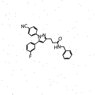 N#Cc1ccc(-n2nc(CCC(=O)NCc3ccccc3)cc2-c2cccc(F)c2)cc1